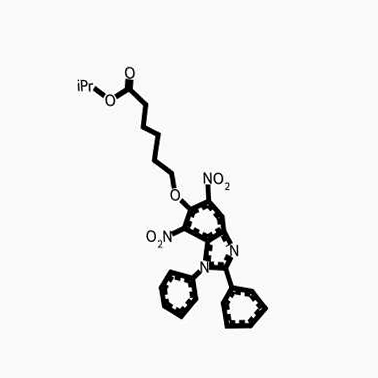 CC(C)OC(=O)CCCCCOc1c([N+](=O)[O-])cc2nc(-c3ccccc3)n(-c3ccccc3)c2c1[N+](=O)[O-]